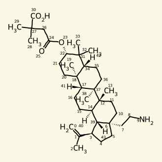 C=C(C)[C@@H]1CC[C@]2(CCN)CC[C@]3(C)[C@H](CC[C@@H]4[C@@]5(C)CC[C@H](OC(=O)CC(C)(C)C(=O)O)C(C)(C)[C@@H]5CC[C@]43C)[C@@H]12